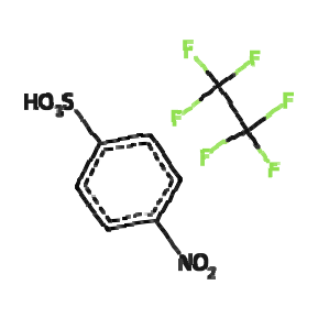 FC(F)(F)C(F)(F)F.O=[N+]([O-])c1ccc(S(=O)(=O)O)cc1